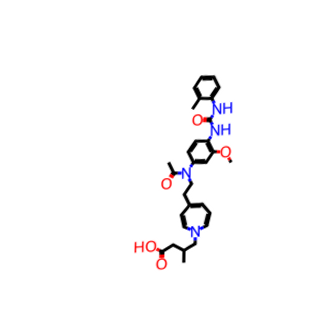 COc1cc(N(CCC2=CC=CN(CC(C)CC(=O)O)C=C2)C(C)=O)ccc1NC(=O)Nc1ccccc1C